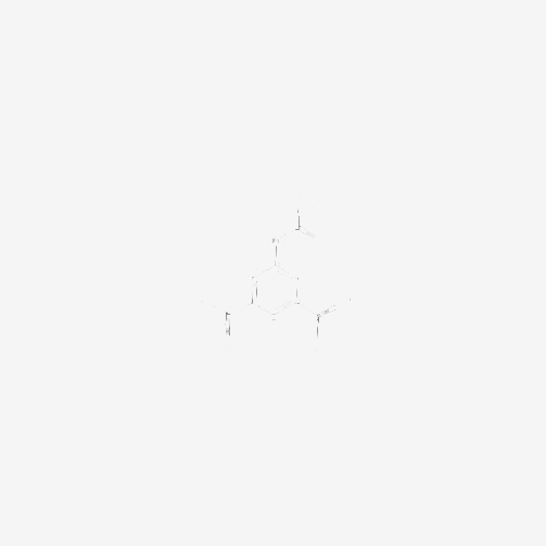 CC(=O)Nc1cc(C(=O)O)cc(C(=O)O)c1